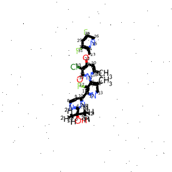 [2H]C([2H])([2H])C(O)(c1nccc(-c2ncc(C)c(-n3c(C)cc(OCc4ncc(F)cc4F)c(Cl)c3=O)c2F)n1)C([2H])([2H])[2H]